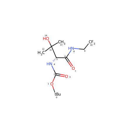 CC(C)(C)OC(=O)N[C@@H](C(=O)NCC(F)(F)F)C(C)(C)O